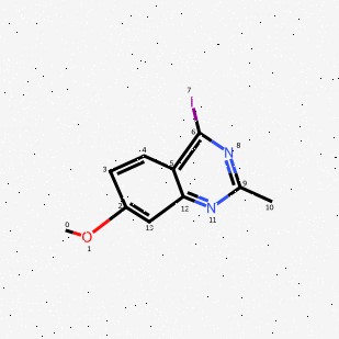 COc1ccc2c(I)nc(C)nc2c1